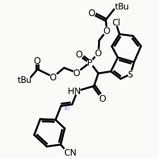 CC(C)(C)C(=O)OCOP(=O)(OCOC(=O)C(C)(C)C)C(C(=O)N/C=C/c1cccc(C#N)c1)c1csc2ccc(Cl)cc12